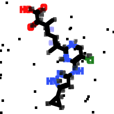 C/C(=C\C=C(/C)c1ncc(Cl)c(Nc2cc(C3CC3)[nH]n2)n1)C(=O)C(=O)O